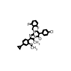 COc1cc(C2CC2)ccc1-c1nc2n(Cc3c(F)cccc3F)cc(-c3ccc(Cl)cc3)c(=O)n2c1C